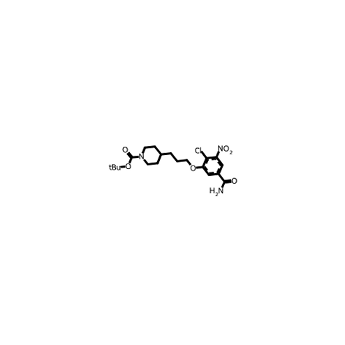 CC(C)(C)OC(=O)N1CCC(CCCOc2cc(C(N)=O)cc([N+](=O)[O-])c2Cl)CC1